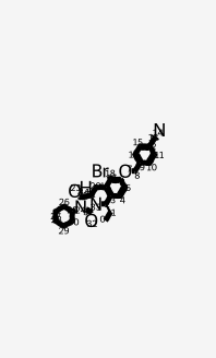 CC[C@@H]1c2ccc(OCc3ccc(C#N)cc3)c(Br)c2C[C@H]2C(=O)N(C3CCCCC3)C(=O)N12